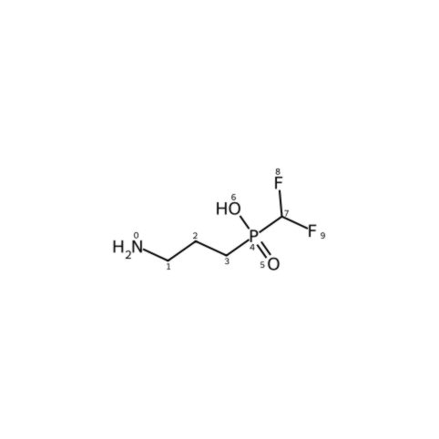 NCCCP(=O)(O)C(F)F